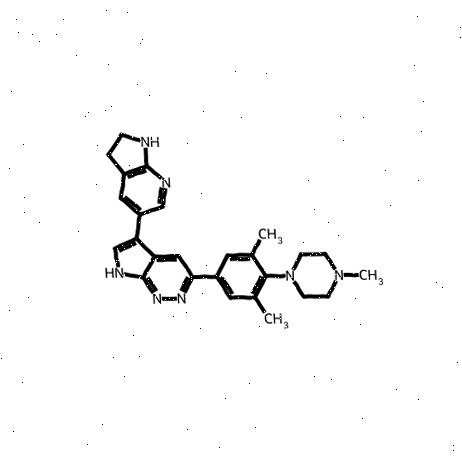 Cc1cc(-c2cc3c(-c4cnc5c(c4)CCN5)c[nH]c3nn2)cc(C)c1N1CCN(C)CC1